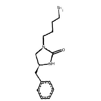 NCCCCN1C[C@H](Cc2ccccc2)NC1=O